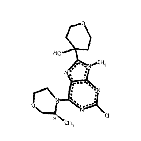 C[C@H]1COCCN1c1nc(Cl)nc2c1nc(C1(O)CCOCC1)n2C